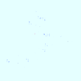 Cc1ccc(-n2nc(C3CCN(Cc4ccncc4)CC3)cc2NC(=O)c2cnn3cccnc23)cc1